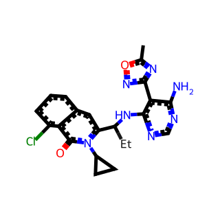 CCC(Nc1ncnc(N)c1-c1noc(C)n1)c1cc2cccc(Cl)c2c(=O)n1C1CC1